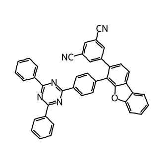 N#Cc1cc(C#N)cc(-c2ccc3c(oc4ccccc43)c2-c2ccc(-c3nc(-c4ccccc4)nc(-c4ccccc4)n3)cc2)c1